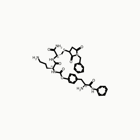 NCCC[C@H](NC(=O)Oc1ccc(C[C@H](N)C(=O)Nc2ccccc2)cc1)C(=O)N[C@@H](CSC1CC(=O)N(Cc2ccccc2)C1=O)C(N)=O